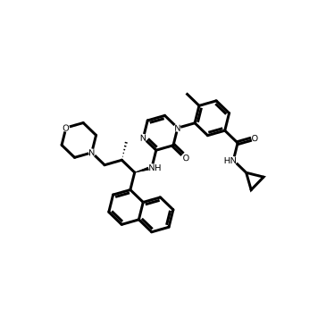 Cc1ccc(C(=O)NC2CC2)cc1-n1ccnc(N[C@@H](c2cccc3ccccc23)[C@@H](C)CN2CCOCC2)c1=O